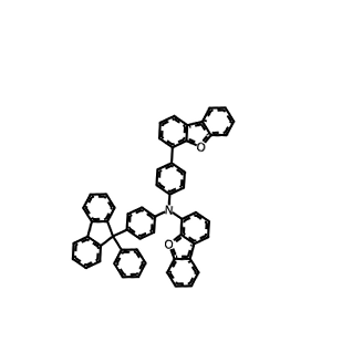 c1ccc(C2(c3ccc(N(c4ccc(-c5cccc6c5oc5ccccc56)cc4)c4cccc5c4oc4ccccc45)cc3)c3ccccc3-c3ccccc32)cc1